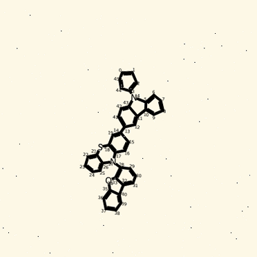 c1ccc(-n2c3ccccc3c3cc(-c4ccc5c(c4)Sc4ccccc4N5c4cccc5c4oc4ccccc45)ccc32)cc1